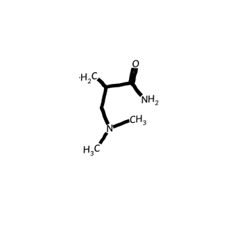 [CH2]C(CN(C)C)C(N)=O